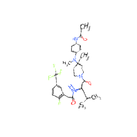 CC(=O)Nc1ccc(N(C)C2(C)CCN(C(=O)[C@H](NC(=O)c3cc(C(F)(F)F)ccc3F)C(C)C)CC2)cc1